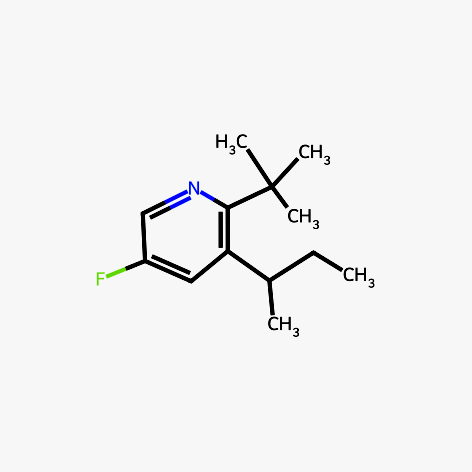 CCC(C)c1cc(F)cnc1C(C)(C)C